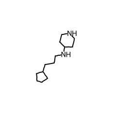 C1CCC(CCCNC2CCNCC2)C1